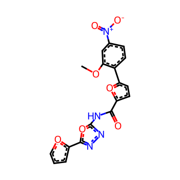 COc1cc([N+](=O)[O-])ccc1-c1ccc(C(=O)Nc2nnc(-c3ccco3)o2)o1